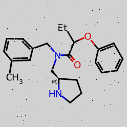 CCC(Oc1ccccc1)C(=O)N(Cc1cccc(C)c1)C[C@H]1CCCN1